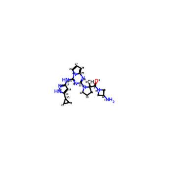 CC1(C(=O)N2CC(N)C2)CCCN1c1nc(Nc2cc(C3CC3)[nH]n2)n2cccc2n1